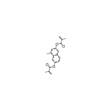 C=C(C)C(=O)Oc1cc(C)c2cc(OC(=O)C(=C)C)ccc2c1